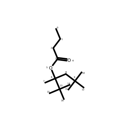 CCCC(=O)OC(C)(CC(C)(C)C)C(C)(C)C